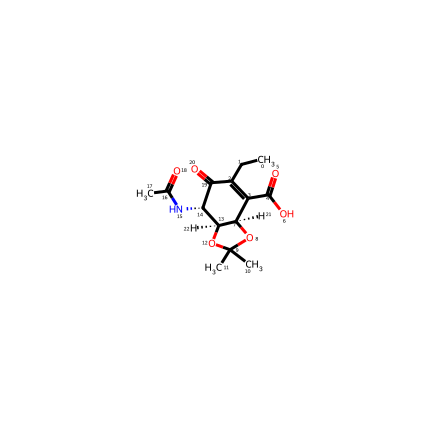 CCC1=C(C(=O)O)[C@H]2OC(C)(C)O[C@H]2[C@H](NC(C)=O)C1=O